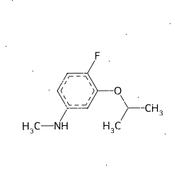 CNc1ccc(F)c(OC(C)C)c1